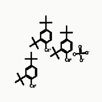 CC(C)(C)c1cc[c]([Ca+])c(C(C)(C)C)c1.CC(C)(C)c1cc[c]([Ca+])c(C(C)(C)C)c1.CC(C)(C)c1cc[c]([Ca+])c(C(C)(C)C)c1.O=P([O-])([O-])[O-]